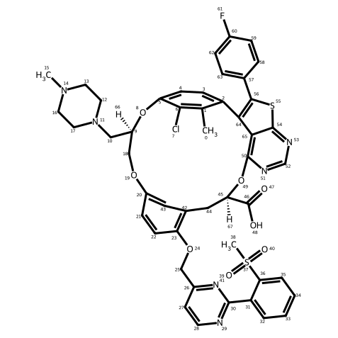 Cc1c2ccc(c1Cl)O[C@H](CN1CCN(C)CC1)COc1ccc(OCc3ccnc(-c4ccccc4S(C)(=O)=O)n3)c(c1)C[C@H](C(=O)O)Oc1ncnc3sc(-c4ccc(F)cc4)c-2c13